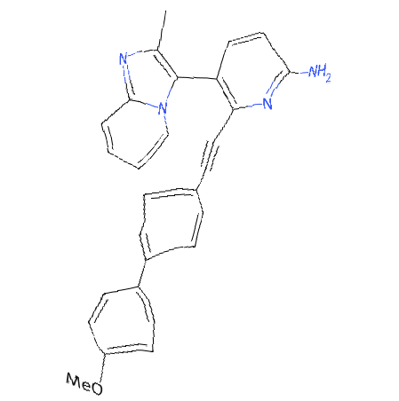 COc1ccc(-c2ccc(C#Cc3nc(N)ccc3-c3c(C)nc4ccccn34)cc2)cc1